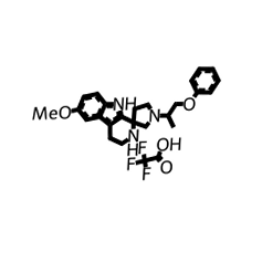 COc1ccc2[nH]c3c(c2c1)CCNC31CCN(C(C)COc2ccccc2)C1.O=C(O)C(F)(F)F